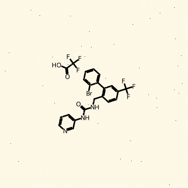 O=C(NCc1ccc(C(F)(F)F)cc1-c1ccccc1Br)Nc1cccnc1.O=C(O)C(F)(F)F